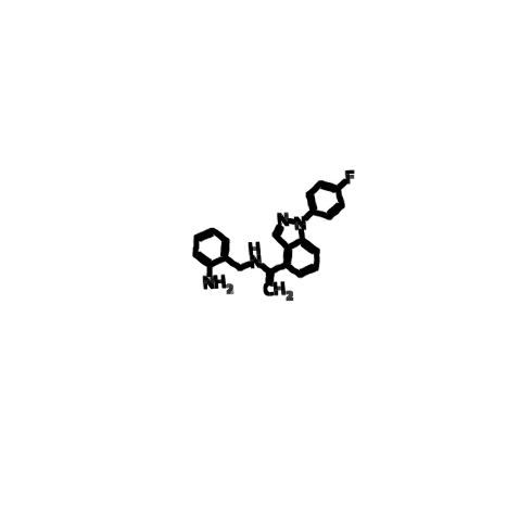 C=C(NCc1ccccc1N)c1cccc2c1cnn2-c1ccc(F)cc1